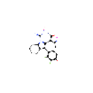 Cc1noc(C)c1-c1c(-c2ccc(O)c(F)c2F)c2c(n1C(=N)NO)CCCC2